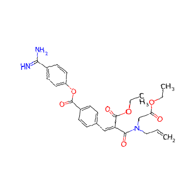 C=CCN(CC(=O)OCC)C(=O)/C(=C/c1ccc(C(=O)Oc2ccc(C(=N)N)cc2)cc1)C(=O)OCC